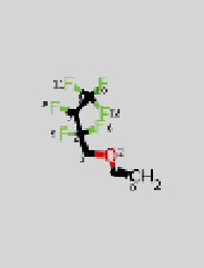 C=COCC(F)(F)C(F)C(F)(F)F